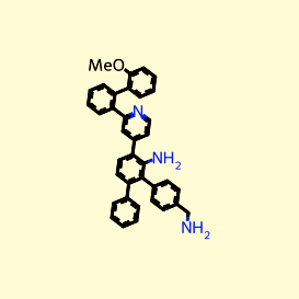 COc1ccccc1-c1ccccc1-c1cc(-c2ccc(-c3ccccc3)c(-c3ccc(CN)cc3)c2N)ccn1